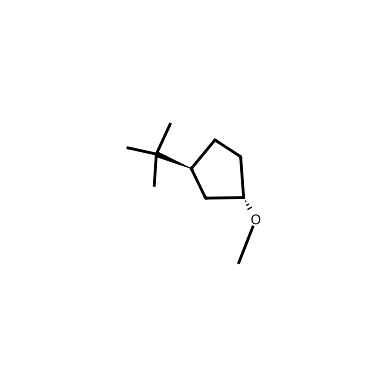 CO[C@H]1CC[C@H](C(C)(C)C)C1